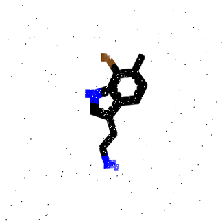 Cc1ccc2c(CCN)c[nH]c2c1Br